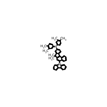 Cc1ccc(N(c2ccc(C)c(C)c2)c2ccc3c(c2)C(C)(C)c2cc(-n4c5ccccc5c5ccccc54)c4ccccc4c2-3)cc1C